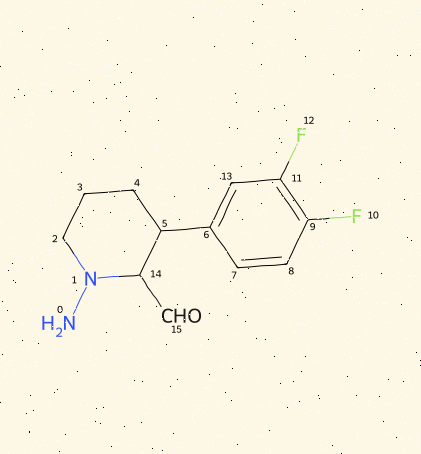 NN1CCCC(c2ccc(F)c(F)c2)C1C=O